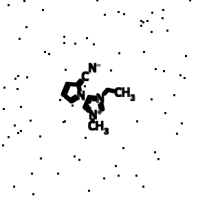 CCn1cc[n+](C)c1.[N-]=C=C1C=CC=N1